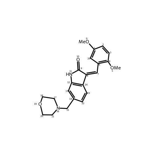 COc1ccc(OC)c(C=C2C(=O)Nc3cc(CN4CCOCC4)ccc32)c1